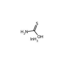 NC(O)=S.[InH3]